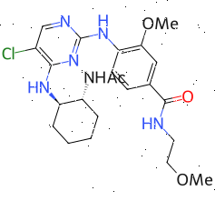 COCCNC(=O)c1ccc(Nc2ncc(Cl)c(N[C@@H]3CCCC[C@H]3NC(C)=O)n2)c(OC)c1